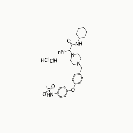 CCCC(C(=O)NC1CCCCC1)N1CCN(Cc2ccc(Oc3ccc(NS(C)(=O)=O)cc3)cc2)CC1.Cl.Cl